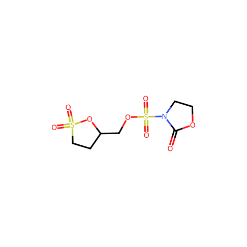 O=C1OCCN1S(=O)(=O)OCC1CCS(=O)(=O)O1